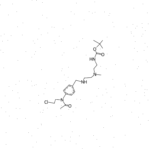 CC(=O)N(CCCl)c1ccc(CNCCN(C)CCNC(=O)OC(C)(C)C)cc1